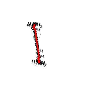 C/C(=C\c1cc(F)c(Oc2ccc(S(=O)(=O)NCCOCCOCCOCCNC(=O)CCOCCOCCOCCOCCOCCOCCOCCOCCOCCC(=O)NCCOCCOCCOCCNS(=O)(=O)c3ccc(Oc4c(F)cc(/C=C(\C)C(=O)N=C(N)N)cc4F)cc3)cc2)c(F)c1)C(=O)N=C(N)N